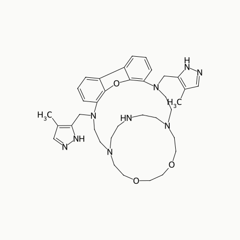 Cc1cn[nH]c1CN1CCN2CCNCCN(CCOCCOCC2)CCN(Cc2[nH]ncc2C)c2cccc3c2oc2c1cccc23